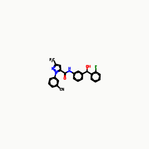 N#Cc1cccc(-n2nc(C(F)(F)F)cc2C(=O)Nc2cccc(C(O)c3ccccc3F)c2)c1